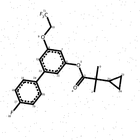 CC(C)(C(=O)Oc1cc(OCC(F)(F)F)cc(-c2ccc(F)cc2)c1)C1CC1